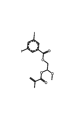 C=C(C)C(=O)OC(COC(=O)c1cc(I)cc(I)c1)OC